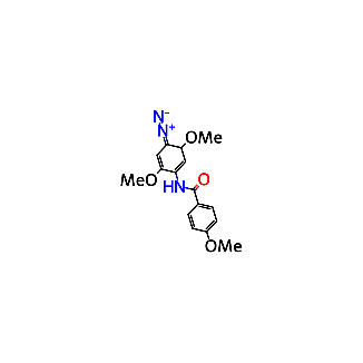 COC1=CC(=[N+]=[N-])C(OC)C=C1NC(=O)c1ccc(OC)cc1